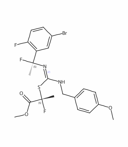 COC(=O)[C@@](C)(F)S/C(=N\[C@@](C)(F)c1cc(Br)ccc1F)NCc1ccc(OC)cc1